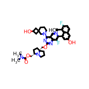 C#Cc1c(F)ccc2cc(O)cc(-c3ncc4c(N5CCCC6(CC(O)C6)C5)nc(OC[C@]56CCCN5[C@H](COC(=O)N(C)C)CC6)nc4c3F)c12